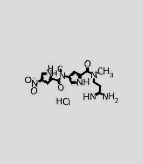 CN(CCC(=N)N)C(=O)c1cc(N(C)C(=O)c2cc([N+](=O)[O-])c[nH]2)c[nH]1.Cl